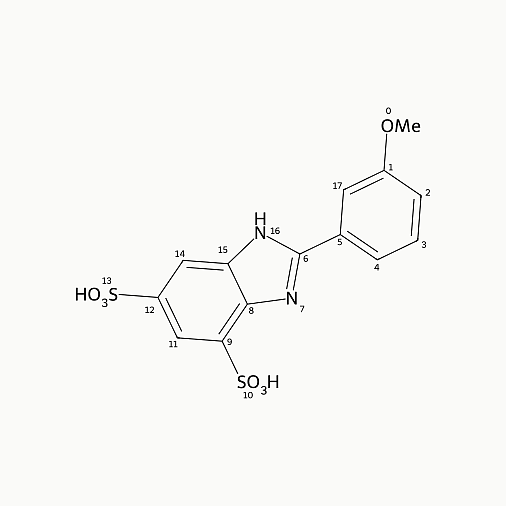 COc1cccc(-c2nc3c(S(=O)(=O)O)cc(S(=O)(=O)O)cc3[nH]2)c1